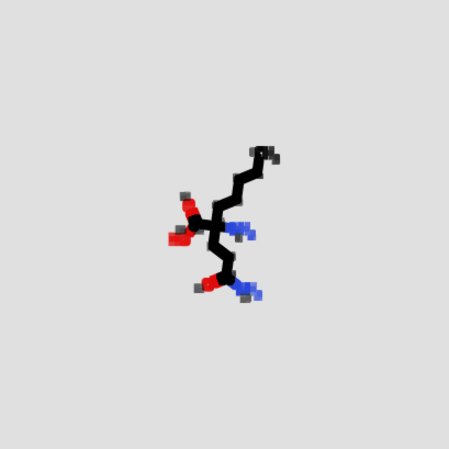 CCCCCC(N)(CCC(N)=O)C(=O)O